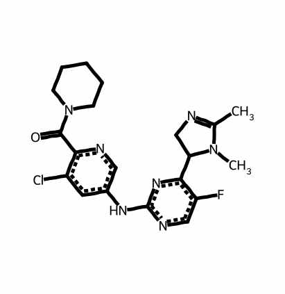 CC1=NCC(c2nc(Nc3cnc(C(=O)N4CCCCC4)c(Cl)c3)ncc2F)N1C